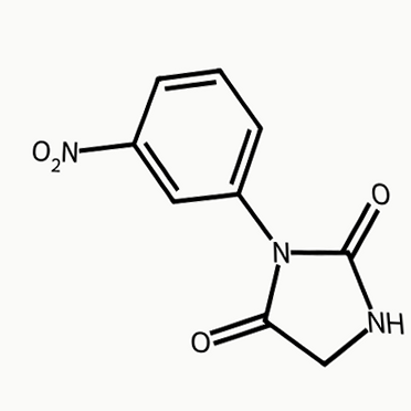 O=C1CNC(=O)N1c1cccc([N+](=O)[O-])c1